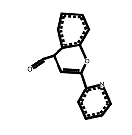 O=CC1C=C(c2ccccn2)Oc2ccccc21